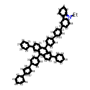 CCn1c2ccccc2c2cc(-c3ccc(-c4ccc(-c5c6ccc(-c7ccccc7)cc6c(-c6ccc(-c7ccc(-c8ccccc8)cc7)cc6)c6ccc(-c7ccccc7)cc56)cc4)cc3)ccc21